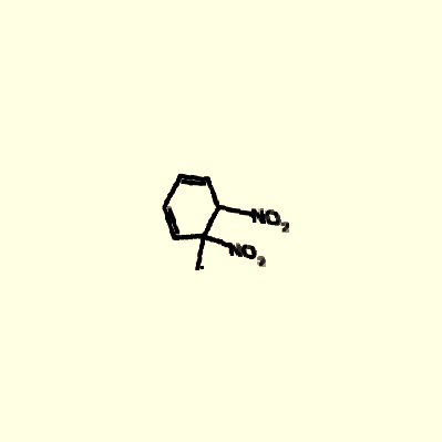 [CH2]C1([N+](=O)[O-])C=CC=CC1[N+](=O)[O-]